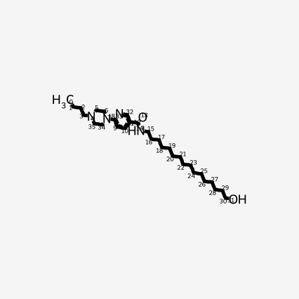 CCCCN1CCN(c2ccc(C(=O)NCCCCCCCCCCCCCCCCO)cn2)CC1